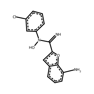 N=C(c1cc2cccc(N)c2o1)N(O)c1cccc(Cl)c1